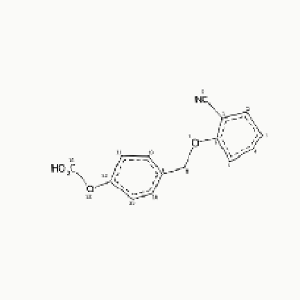 N#Cc1ccccc1OCc1ccc(OC(=O)O)cc1